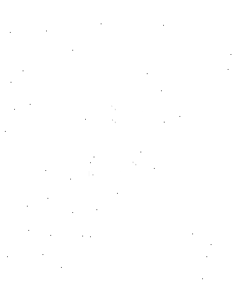 CCc1nnc(Sc2nc(C(C)(C)C)c(Br)s2)s1